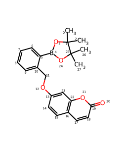 CC1(C)OB(c2ccccc2COc2ccc3ccc(=O)oc3c2)OC1(C)C